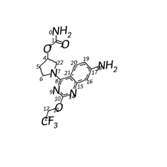 NC(=O)OC1CCN(c2nc(OCC(F)(F)F)nc3cc(N)ccc23)C1